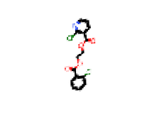 O=C(OCCOC(=O)c1cccnc1Cl)c1ccccc1Cl